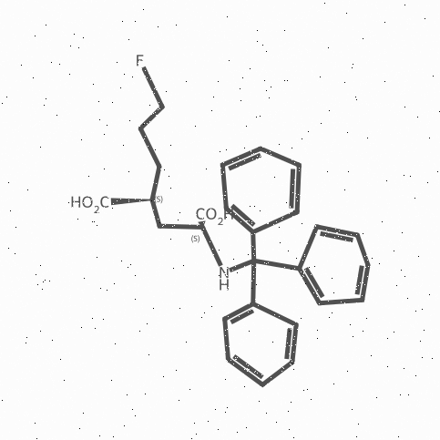 O=C(O)[C@@H](CCCF)C[C@H](NC(c1ccccc1)(c1ccccc1)c1ccccc1)C(=O)O